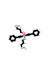 CCCCO[Si](C#Cc1ccccc1)(C#Cc1ccccc1)OCCCC